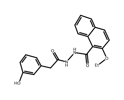 CCOc1ccc2ccccc2c1C(=O)NNC(=O)Cc1cccc(O)c1